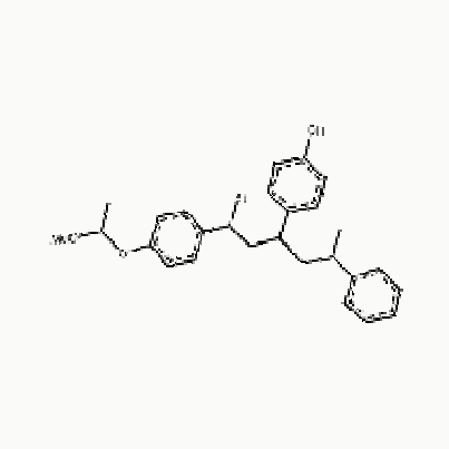 CCC(CC(CC(C)c1ccccc1)c1ccc(O)cc1)c1ccc(OC(C)OC)cc1